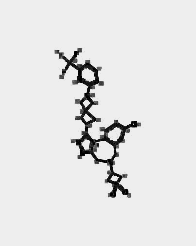 O=S1(=O)CC(N2Cc3cc(Cl)ccc3-n3c(nnc3C3CC4(C3)CN(c3cccc(C(F)(F)F)n3)C4)C2)C1